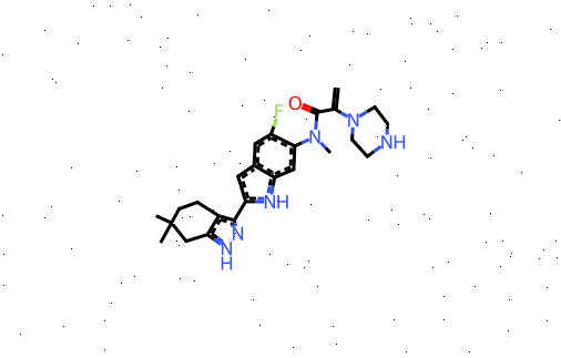 C=C(C(=O)N(C)c1cc2[nH]c(-c3n[nH]c4c3CCC(C)(C)C4)cc2cc1F)N1CCNCC1